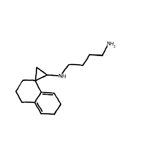 NCCCCNC1CC12CCCC1=CCCC=C12